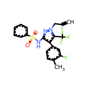 C#CCn1nc(NS(=O)(=O)c2ccccc2)c(-c2ccc(C)c(F)c2)c1C(F)(F)F